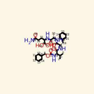 CC(C)[C@H](NC(=O)OCc1ccccc1)C(=O)N[C@@H](Cc1ccccc1)C(=O)N[C@@H](C)C(=O)NC(CCC(N)=O)C(O)O